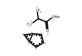 COC(=O)C(C(F)(F)F)C(F)(F)F.c1cc2cc-2c1